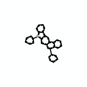 c1ccc(-c2cc3cc4c(cc3c3ccccc23)c2ccccc2n4-c2ccccc2)cc1